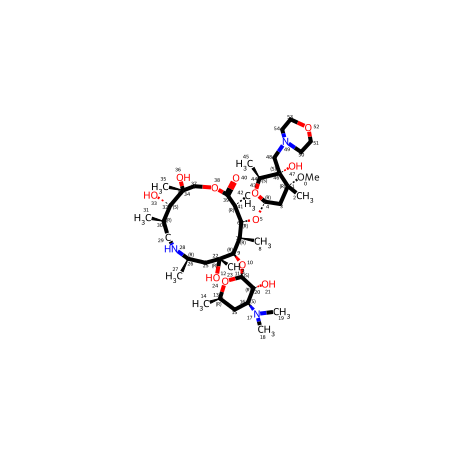 CO[C@]1(C)C[C@H](O[C@@H]2[C@@H](C)[C@@H](O[C@@H]3O[C@H](C)C[C@H](N(C)C)[C@H]3O)[C@](C)(O)C[C@@H](C)NC[C@@H](C)[C@H](O)[C@](C)(O)COC(=O)[C@@H]2C)O[C@@H](C)[C@@]1(O)CN1CCOCC1